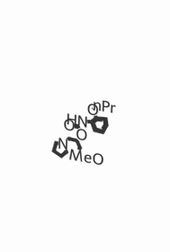 CCCOc1ccccc1NC(=O)OC(COC)CN1CCCC1